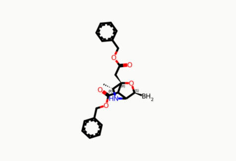 B[C@@H]1O[C@]2(CC(=O)OCc3ccccc3)C(C(=O)OCc3ccccc3)C1N[C@@H]2C